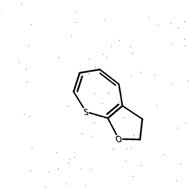 C1=CSC2=C(C=C1)CCO2